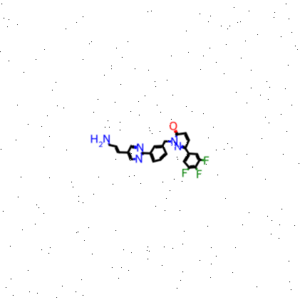 NCC=Cc1cnc(-c2cccc(Cn3nc(-c4cc(F)c(F)c(F)c4)ccc3=O)c2)nc1